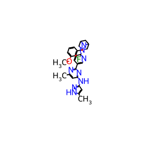 COc1cccc(CN2C3CC2CN(c2ccc(-c4nc(C)cc(Nc5cc(C)[nH]n5)n4)cn2)C3)c1F